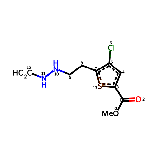 COC(=O)c1cc(Cl)c(CCNNC(=O)O)s1